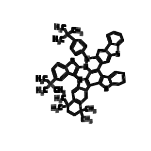 CC(C)(C)c1ccc(N2B3c4sc5ccc(C(C)(C)C)cc5c4-n4c5cc6c(cc5c5c7sc8ccccc8c7c(c3c54)-c3cc4sc5ccccc5c4cc32)C(C)(C)CCC6(C)C)cc1